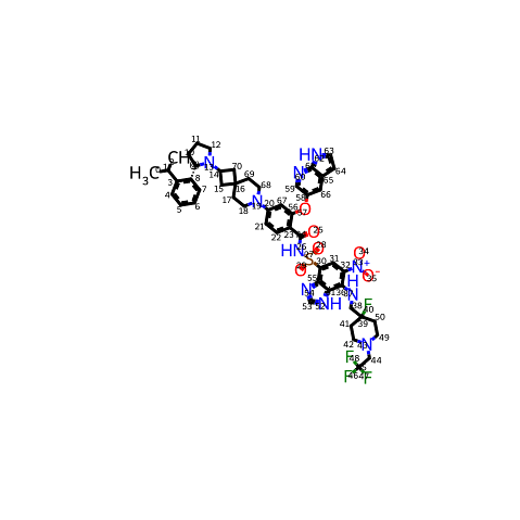 CC(C)c1ccccc1[C@@H]1CCCN1C1CC2(CCN(c3ccc(C(=O)NS(=O)(=O)c4cc([N+](=O)[O-])c(NCC5(F)CCN(CC(F)(F)F)CC5)c5[nH]cnc45)c(Oc4cnc5[nH]ccc5c4)c3)CC2)C1